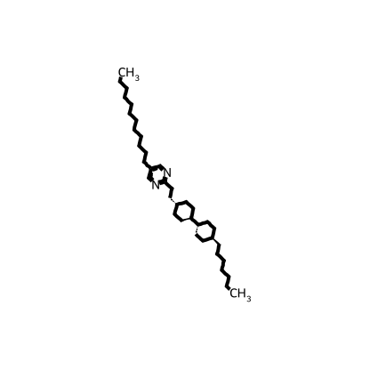 CCCCCCCCCCCCc1cnc(CC[C@H]2CC[C@H]([C@H]3CC[C@H](CCCCCCC)CC3)CC2)nc1